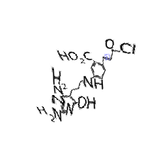 Nc1nc(N)c(CCCNc2ccc(/C=C/C(=O)CCl)c(C(=O)O)c2)c(O)n1